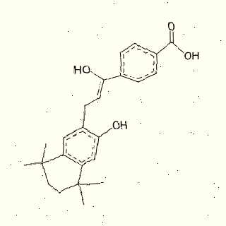 CC1(C)CCC(C)(C)c2cc(CC=C(O)c3ccc(C(=O)O)cc3)c(O)cc21